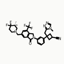 C[C@@H]1CN(Cc2cc3c(c(C(F)(F)F)c2)CN(c2cccc(C4(Cc5nncn5C)CC(C#N)C4)c2)C3=O)CCC1(F)F